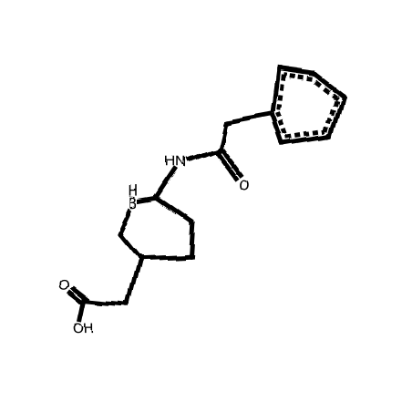 O=C(O)CC1CBC(NC(=O)Cc2ccccc2)CC1